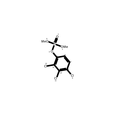 COP(=O)(OC)Oc1ccc(Cl)c(Cl)c1Cl